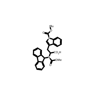 COC(=O)N(C(Cc1cn(C(=O)OC(C)(C)C)c2ccccc12)C(=O)O)C1c2ccccc2-c2ccccc21